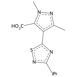 Cc1nn(C)c(C(=O)O)c1-c1nc(C(C)C)ns1